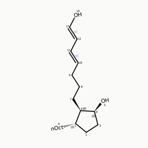 CCCCCCCC[C@H]1CC[C@H](O)[C@@H]1CCC/C=C/C=C/O